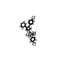 O=C(NS(=O)(=O)c1ccc(Cl)cc1)n1cc(C2=CCCC=C2)c(-c2ccc(Cl)cc2)n1